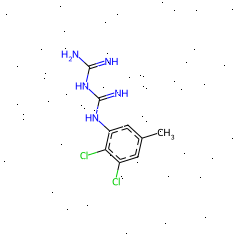 Cc1cc(Cl)c(Cl)c(NC(=N)NC(=N)N)c1